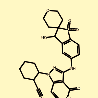 N#CC1CCCCC1n1nc(Nc2ccc3c(c2)C(O)C2(CCOCC2)S3(=O)=O)c2c(=O)[nH]ccc21